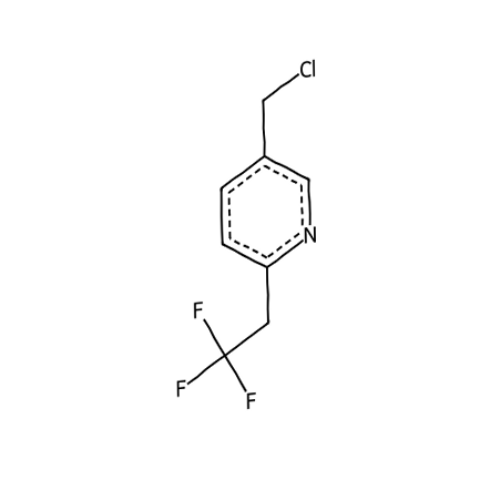 FC(F)(F)Cc1ccc(CCl)cn1